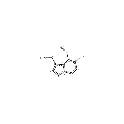 Cc1c(Cl)ccn2cnc(CN)c12.Cl